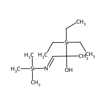 CC[Si](CC)(CC)C(C)(O)C=N[Si](C)(C)C